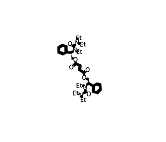 CCN(CC)C(=O)N(CC)[C@H](COC(=O)/C=C/C(=O)OC[C@H](c1ccccc1)N(CC)C(=O)N(CC)CC)c1ccccc1